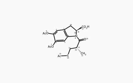 CC(=O)Oc1cc2c(cc1OC(C)=O)N(C(=O)[C@H](C)CSC(C)=O)[C@H](C(=O)O)C2